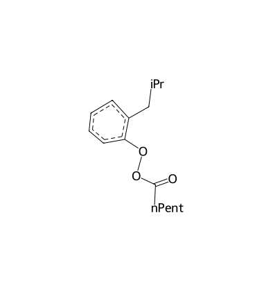 CCCCCC(=O)OOc1ccccc1CC(C)C